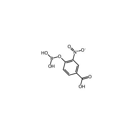 O=C(O)c1ccc(OB(O)O)c([N+](=O)[O-])c1